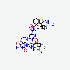 C[C@H](Oc1nc(-c2noc(C3(C)CCCc4sc(N)c(C#N)c43)n2)cc(N2CCCC3(C2)NC(=O)NC3=O)n1)[C@@H]1CCCN1C